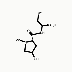 CC(=O)N1CC(O)C[C@H]1C(=O)N[C@@H](CC(C)C)C(=O)O